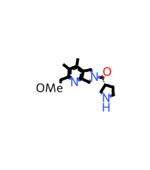 COCc1nc2c(c(C)c1C)CN(C(=O)[C@@H]1CCNC1)C2